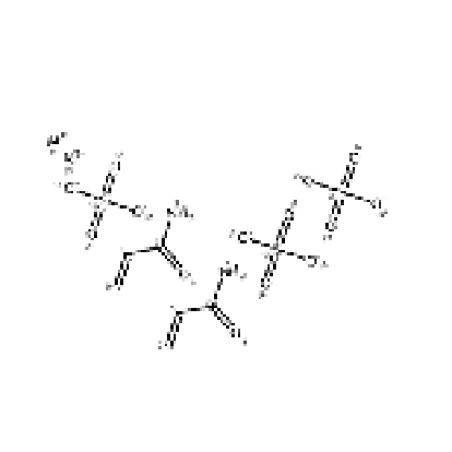 C=CC(N)=O.C=CC(N)=O.O=S(=O)([O-])[O-].O=S(=O)([O-])[O-].O=S(=O)([O-])[O-].[Al+3].[Al+3]